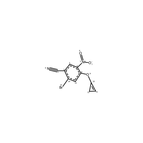 N#Cc1cc([N+](=O)[O-])c(OC2=CC2)cc1Br